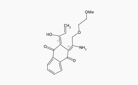 C=C/C(O)=C1/C(=O)c2ccccc2C(=O)/C1=C(\N)COCCOC